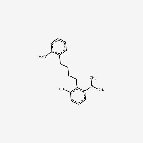 COc1ccccc1CCCCc1c(O)cccc1N(C)C